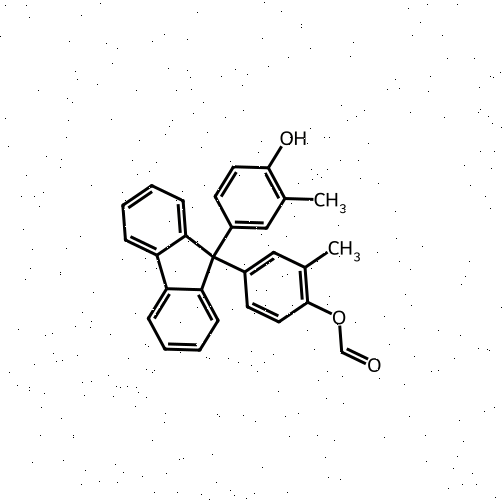 Cc1cc(C2(c3ccc(OC=O)c(C)c3)c3ccccc3-c3ccccc32)ccc1O